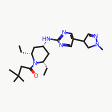 CC[C@@H]1C[C@H](Nc2ncc(C3C=NN(C)C3)cn2)C[C@H](CC)N1C(=O)CC(C)(C)C